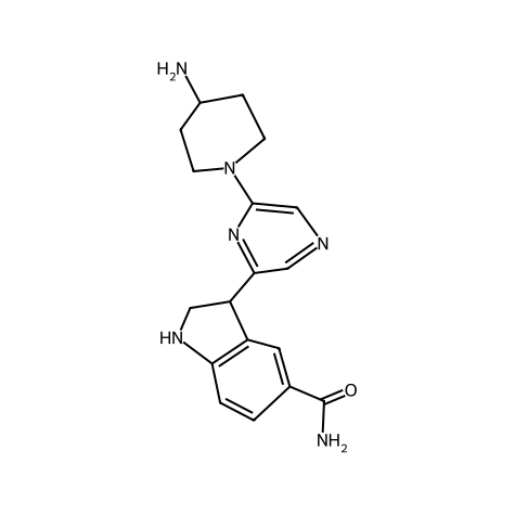 NC(=O)c1ccc2c(c1)C(c1cncc(N3CCC(N)CC3)n1)CN2